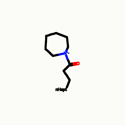 CCCCCCCCCC(=O)[N+]1CCCCCC1